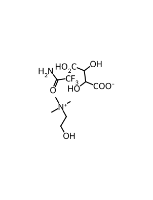 C[N+](C)(C)CCO.NC(=O)C(F)(F)F.O=C([O-])C(O)C(O)C(=O)O